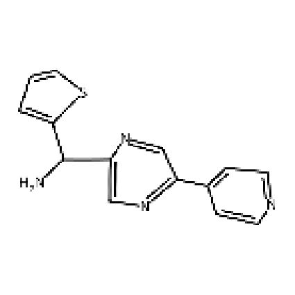 NC(c1cnc(-c2ccncc2)cn1)c1cccs1